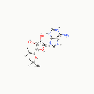 CC(C)=C(O[Si](C)(C)C(C)(C)C)[C@H]1O[C@@H](n2cnc3c(N)ncnc32)[C@H](O)[C@@H]1O